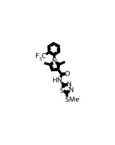 CSc1nnc(NC(=O)c2cc(C)n(-c3ccccc3C(F)(F)F)c2C)s1